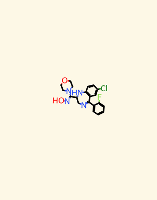 O/N=C(/C1CN=C(c2ccccc2F)c2cc(Cl)ccc2N1)N1CCOCC1